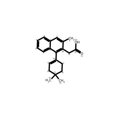 Cc1cc2ccccc2c(C2=CCC(C)(C)CC2)c1CC(=O)O